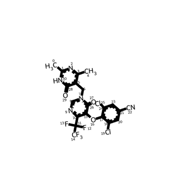 Cc1nc(C)c(Cn2cnc(C(F)(F)C(F)(F)F)c(Oc3c(Cl)cc(C#N)cc3Cl)c2=O)c(=O)[nH]1